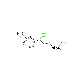 C=C[SiH](C)CCCC(Cl)c1cccc(C(F)(F)F)c1